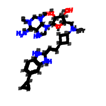 CC(C)N(C[C@H]1O[C@@H](N2CNC3C(N)N(C)CN(C)C32)[C@H](O)[C@@H]1O)[C@H]1C[C@H](CCC2Nc3ccc(C4CC4)cc3N2)C1